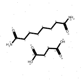 NC(=O)CCCCCCC(N)=O.O=C(O)CCC(=O)O